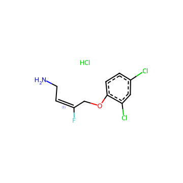 Cl.NC/C=C(/F)COc1ccc(Cl)cc1Cl